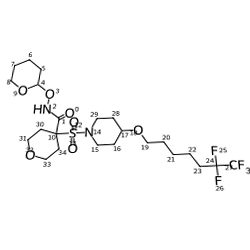 O=C(NOC1CCCCO1)C1(S(=O)(=O)N2CCC(OCCCCCC(F)(F)C(F)(F)F)CC2)CCOCC1